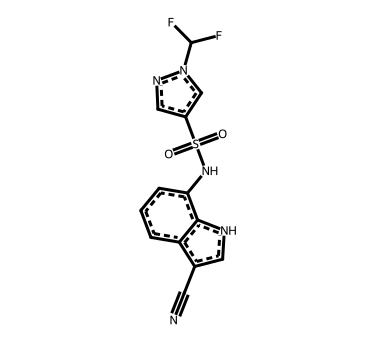 N#Cc1c[nH]c2c(NS(=O)(=O)c3cnn(C(F)F)c3)cccc12